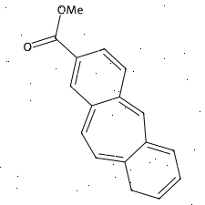 COC(=O)c1ccc2c(c1)=CC=C1CC=CC=C1C=2